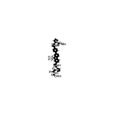 COC(=O)NC(C(=O)N1CCC[C@H]1c1ncc(-c2ccc3c(c2)C(C)(C)c2cc(-c4ccc(-c5cnc([C@@H]6CCCN6C(=O)OC(C)(C)C)[nH]5)cc4)ccc2-3)[nH]1)C(C)C